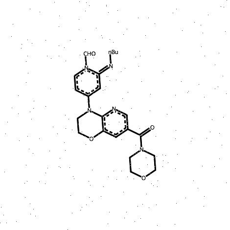 CCCC/N=c1/cc(N2CCOc3cc(C(=O)N4CCOCC4)cnc32)ccn1C=O